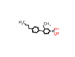 CCCCc1ccc(-c2ccc(B(O)O)cc2CC)cc1